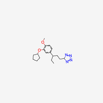 CCC(CCC1N=NN=N1)c1ccc(OC)c(OC2CCCC2)c1